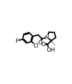 C[C@@]1(C(=O)O)CCCN1C(=O)Cc1ccc(F)cc1Cl